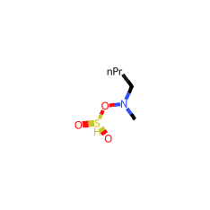 [CH2]CCCN(C)O[SH](=O)=O